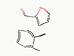 Cc1ccccc1C.O=Cc1ccco1